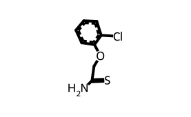 NC(=S)COc1ccccc1Cl